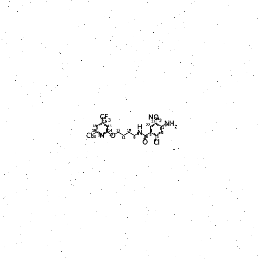 Nc1cc(Cl)c(C(=O)NCCCCOc2cc(C(F)(F)F)cc(Cl)n2)cc1[N+](=O)[O-]